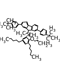 C=CCOc1c(CCCCC)cc(CCCCC)cc1[Si](C)(C)C1c2cc(-c3ccc(C(C)(C)C)cc3)ccc2-c2ccc(-c3ccc(C(C)(C)C)cc3)cc21